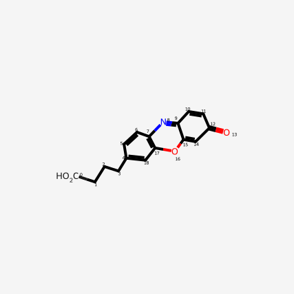 O=C(O)CCCc1ccc2nc3ccc(=O)cc-3oc2c1